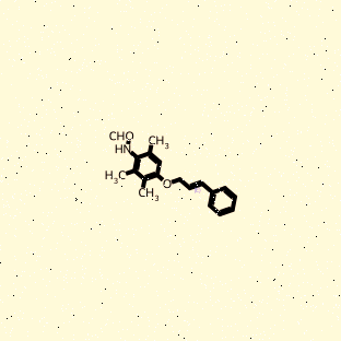 Cc1cc(OC/C=C/c2ccccc2)c(C)c(C)c1NC=O